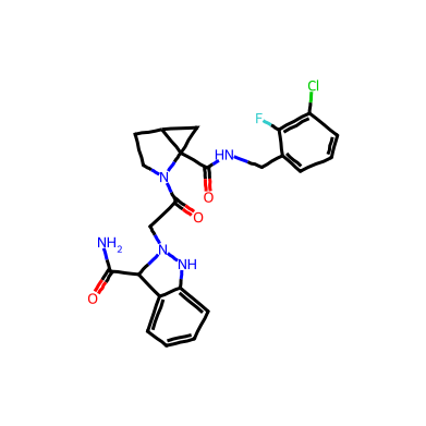 NC(=O)C1c2ccccc2NN1CC(=O)N1CCC2CC21C(=O)NCc1cccc(Cl)c1F